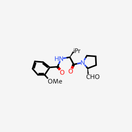 COc1ccccc1C(=O)N[C@H](C(=O)N1CCC[C@H]1C=O)C(C)C